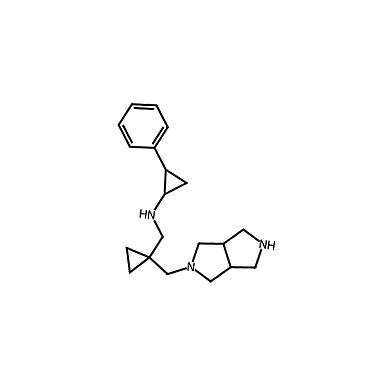 c1ccc(C2CC2NCC2(CN3CC4CNCC4C3)CC2)cc1